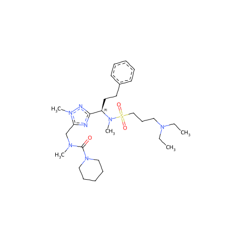 CCN(CC)CCCS(=O)(=O)N(C)[C@H](CCc1ccccc1)c1nc(CN(C)C(=O)N2CCCCC2)n(C)n1